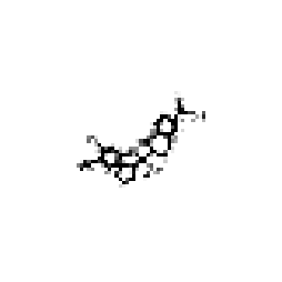 C[As](C)C1(C2CCCC2)C2CCc3cc(C(=O)O)ccc3C2=NN1c1ccc(C#N)c(Cl)c1